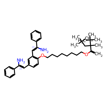 C=C(OCCCCCCCCOc1ccc(/C=C(\N)c2ccccc2)cc1/C=C(\N)c1ccccc1)C(C)(CC(C)(C)C)C(C)(C)C